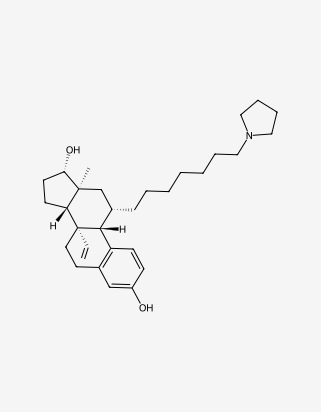 C=C[C@@]12CCc3cc(O)ccc3[C@H]1[C@@H](CCCCCCCN1CCCC1)C[C@@]1(C)[C@H]2CC[C@@H]1O